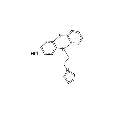 Cl.c1ccc2c(c1)Sc1ccccc1N2CCn1cccc1